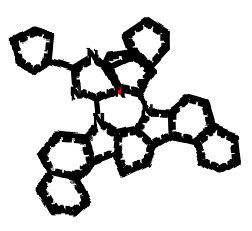 c1ccc(-c2nc(-c3ccccc3)nc(-n3c4ccc5ccccc5c4c4ccc5c6c7ccccc7ccc6n(-c6ccccc6)c5c43)n2)cc1